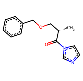 C[C@@H](COCc1ccccc1)C(=O)n1ccnc1